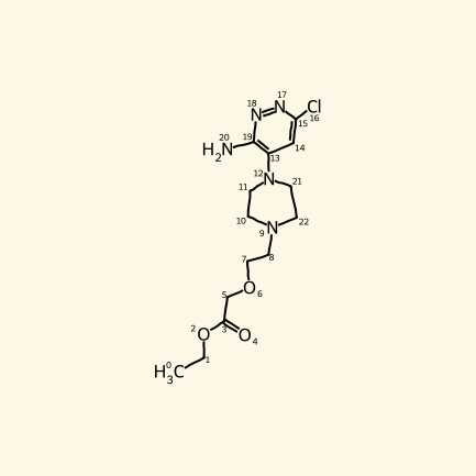 CCOC(=O)COCCN1CCN(c2cc(Cl)nnc2N)CC1